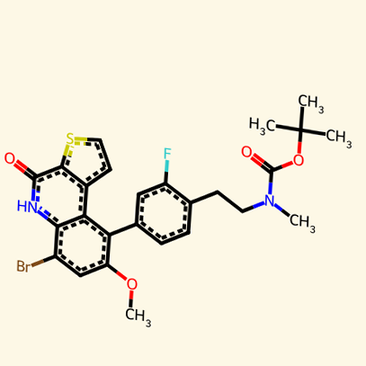 COc1cc(Br)c2[nH]c(=O)c3sccc3c2c1-c1ccc(CCN(C)C(=O)OC(C)(C)C)c(F)c1